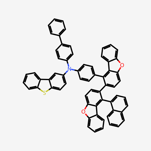 c1ccc(-c2ccc(N(c3ccc(-c4c(-c5ccc6oc7ccccc7c6c5-c5cccc6ccccc56)ccc5oc6ccccc6c45)cc3)c3ccc4sc5ccccc5c4c3)cc2)cc1